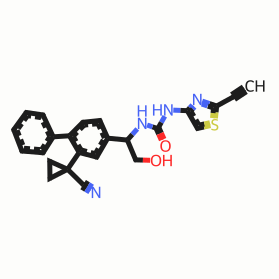 C#Cc1nc(NC(=O)NC(CO)c2ccc(-c3ccccc3)c(C3(C#N)CC3)c2)cs1